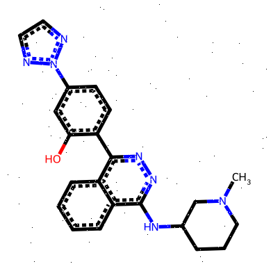 CN1CCCC(Nc2nnc(-c3ccc(-n4nccn4)cc3O)c3ccccc23)C1